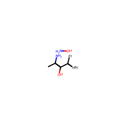 CCCCC(CC)C(O)C(C)N.NO